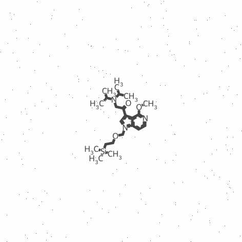 COc1nccc2c1c(C(=O)CN(C(C)C)C(C)C)cn2COCC[Si](C)(C)C